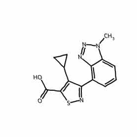 Cn1nnc2c(-c3nsc(C(=O)O)c3C3CC3)cccc21